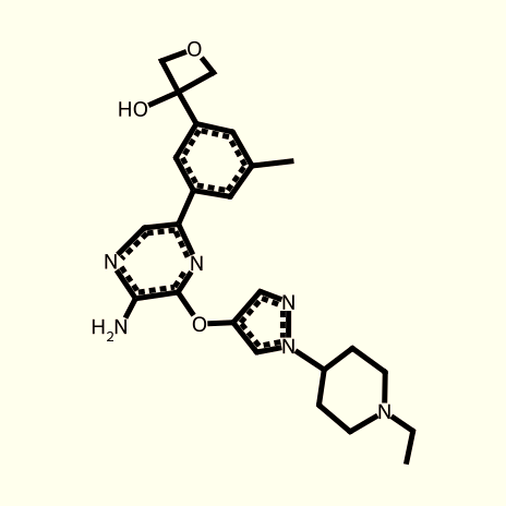 CCN1CCC(n2cc(Oc3nc(-c4cc(C)cc(C5(O)COC5)c4)cnc3N)cn2)CC1